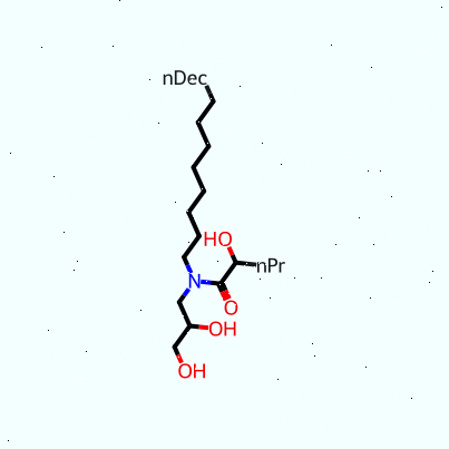 CCCCCCCCCCCCCCCCCCN(CC(O)CO)C(=O)C(O)CCC